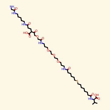 CC(C)C(NC(=O)CCCCCCCSCCCCCC(=O)NCCCOCCOCCOCCCNC(=O)COCC(=O)C(CCC(=O)NCCCCCNC(=O)CN)C(=O)O)C(=O)O